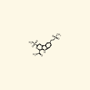 CS(=O)(=O)CCc1ccc2[nH]c3c(C(N)=O)nc(S(N)(=O)=O)cc3c2c1